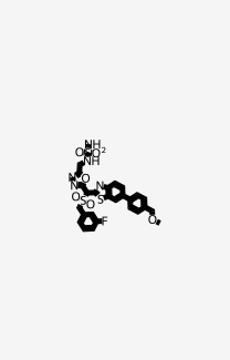 COCc1ccc(-c2ccc3nc(C(c4nnc(CNS(N)(=O)=O)o4)S(=O)(=O)Cc4cccc(F)c4)sc3c2)cc1